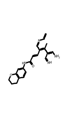 C=C\N=C/C(/C=C/C(=O)Nc1ccc2c(c1)OCCC2)=C(C)/C(C=N)=C/N